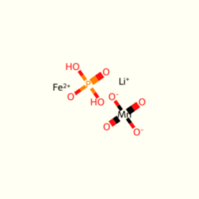 O=P([O-])(O)O.[Fe+2].[Li+].[O]=[Mn](=[O])([O-])[O-]